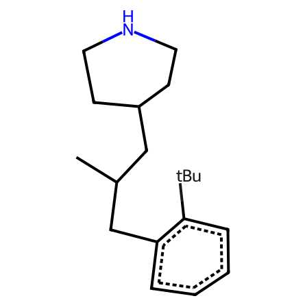 CC(Cc1ccccc1C(C)(C)C)CC1CCNCC1